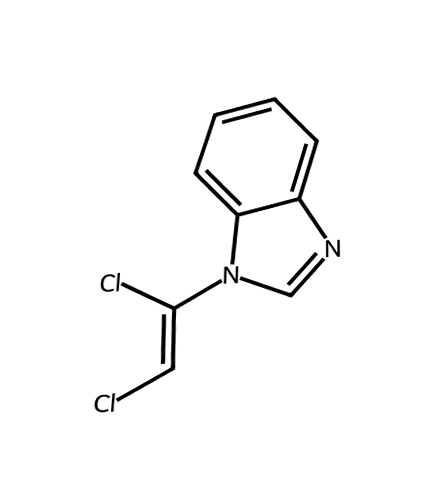 ClC=C(Cl)n1cnc2ccccc21